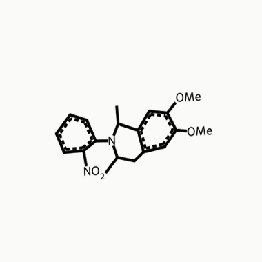 COc1cc2c(cc1OC)C(C)N(c1ccccc1[N+](=O)[O-])C(C)C2